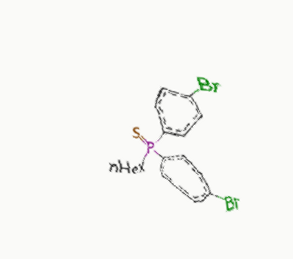 CCCCCCP(=S)(c1ccc(Br)cc1)c1ccc(Br)cc1